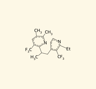 CCc1nccc(CC(C)c2nc(C)c(C)cc2C(F)(F)F)c1C(F)(F)F